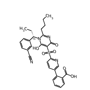 CCCCc1nc(=O)c(S(=O)(=O)c2ccc(-c3ccccc3C(=O)O)cn2)c(O)n1[C@@H](CC)c1cccc(C#N)c1